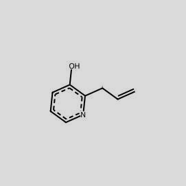 C=C[CH]c1ncccc1O